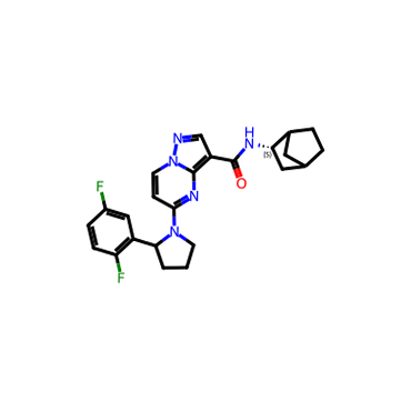 O=C(N[C@H]1CC2CCC1C2)c1cnn2ccc(N3CCCC3c3cc(F)ccc3F)nc12